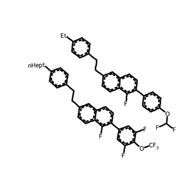 CCCCCCCc1ccc(CCc2ccc3c(F)c(-c4cc(F)c(OC(F)(F)F)c(F)c4)ccc3c2)cc1.CCc1ccc(CCc2ccc3c(F)c(-c4ccc(OC(F)F)cc4)ccc3c2)cc1